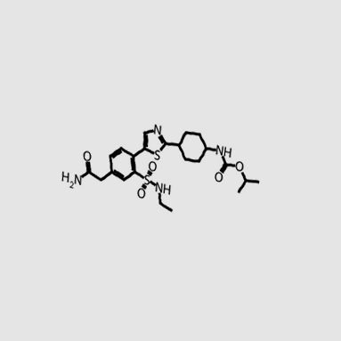 CCNS(=O)(=O)c1cc(CC(N)=O)ccc1-c1cnc(C2CCC(NC(=O)OC(C)C)CC2)s1